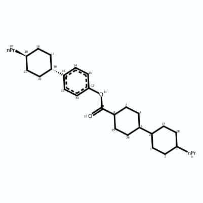 CCCC1CCC(C2CCC(C(=O)Oc3ccc([C@H]4CC[C@H](CCC)CC4)cc3)CC2)CC1